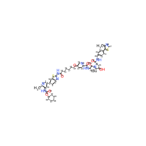 Cc1ncc(-c2ccc3nc(NC(=O)CCCCCCOc4ccc(C(=O)N[C@H](C(=O)N5C[C@H](O)C[C@H]5C(=O)NCc5ccc(-c6scnc6C)cc5)C(C)(C)C)nc4)sc3c2)cc1NC(=O)OC1CCCCC1